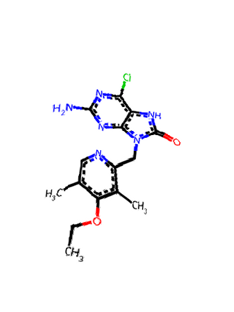 CCOc1c(C)cnc(Cn2c(=O)[nH]c3c(Cl)nc(N)nc32)c1C